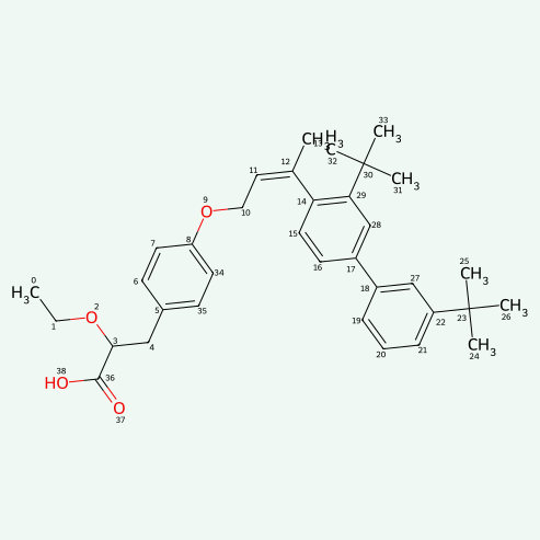 CCOC(Cc1ccc(OCC=C(C)c2ccc(-c3cccc(C(C)(C)C)c3)cc2C(C)(C)C)cc1)C(=O)O